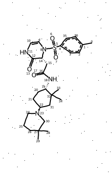 Cc1ccc(S(=O)(=O)N2C=CNC(=O)[C@H]2CC(=O)N[C@H]2CC[C@H](N3CCCC(C)(C)C3)CC2(C)C)cc1